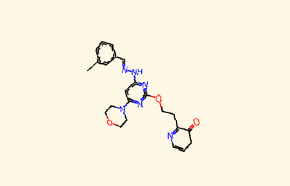 Cc1cccc(C=NNc2cc(N3CCOCC3)nc(OCCC3=NC=CCC3=O)n2)c1